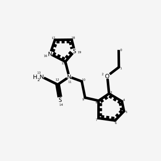 CCOc1ccccc1CCN(C(N)=S)c1nccs1